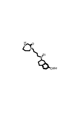 CCN(CCCCN1CCCNCC1=O)C1CCc2ccc(OC)cc2C1